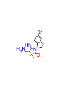 CC1(C)C(=O)N(C2CCc3cc(Br)ccc32)C(=N)/C1=C\N